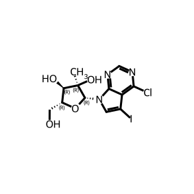 C[C@@]1(O)[C@H](O)[C@@H](CO)O[C@H]1n1cc(I)c2c(Cl)ncnc21